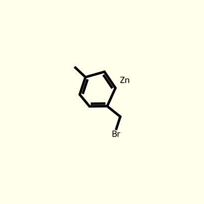 Cc1ccc(CBr)cc1.[Zn]